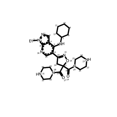 CCn1ncc2c(NC3CCCCC3)c(C3=NOC(C(=O)N4CCNCC4)(C(=O)N4CCNCC4)C3)cnc21